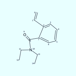 C=Cc1ccccc1C(=O)N(CC)CC